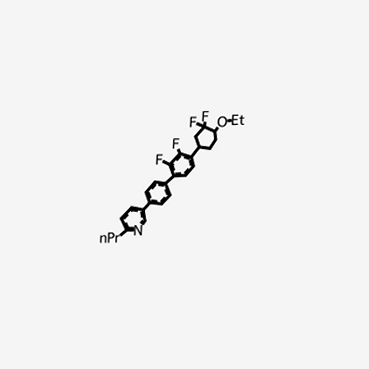 CCCc1ccc(-c2ccc(-c3ccc(C4CCC(OCC)C(F)(F)C4)c(F)c3F)cc2)cn1